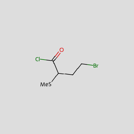 CSC(CCBr)C(=O)Cl